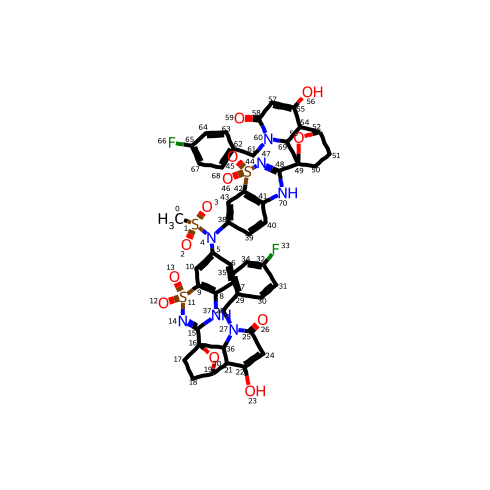 CS(=O)(=O)N(c1ccc2c(c1)S(=O)(=O)N=C(C13CCC(O1)C1C(O)=CC(=O)N(Cc4ccc(F)cc4)C13)N2)c1ccc2c(c1)S(=O)(=O)N=C(C13CCC(O1)C1C(O)=CC(=O)N(Cc4ccc(F)cc4)C13)N2